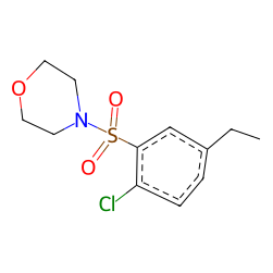 CCc1ccc(Cl)c(S(=O)(=O)N2CCOCC2)c1